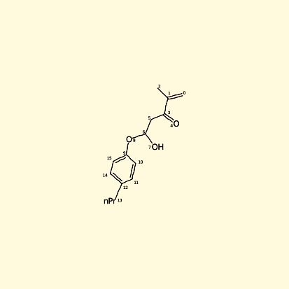 C=C(C)C(=O)CC(O)Oc1ccc(CCC)cc1